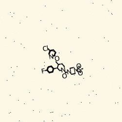 CS(=O)(=O)N1CCN(C(=O)N2CCC(COc3ccc(Cl)cn3)C(c3ccc(F)cc3)C2)CC1